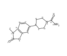 Cn1c(=O)oc2cc(C3CCN(C(N)=O)CC3)ccc21